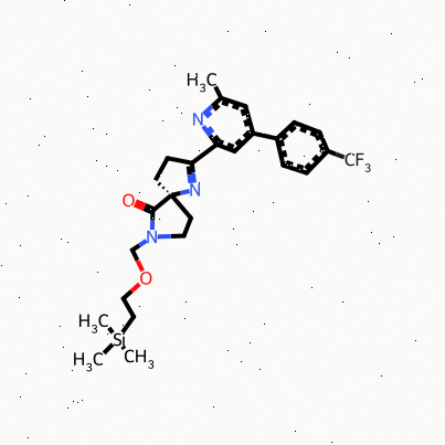 Cc1cc(-c2ccc(C(F)(F)F)cc2)cc(C2=N[C@@]3(CC2)CCN(COCC[Si](C)(C)C)C3=O)n1